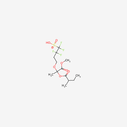 CCC(C)C(=O)OC(C)(OCCC(F)(F)C(F)(F)S(=O)(=O)O)C(=O)OC